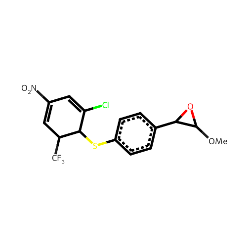 COC1OC1c1ccc(SC2C(Cl)=CC([N+](=O)[O-])=CC2C(F)(F)F)cc1